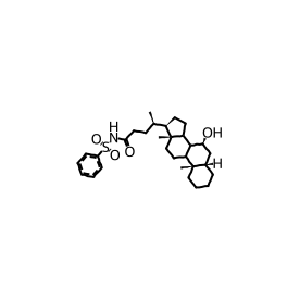 C[C@H](CCC(=O)NS(=O)(=O)c1ccccc1)[C@H]1CCC2C3C(CC[C@@]21C)[C@@]1(C)CCCC[C@H]1C[C@@H]3O